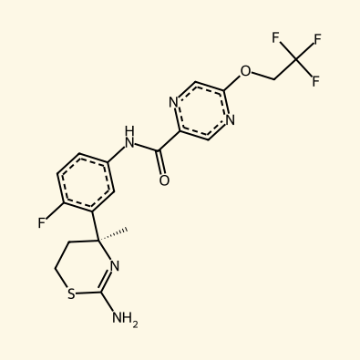 C[C@@]1(c2cc(NC(=O)c3cnc(OCC(F)(F)F)cn3)ccc2F)CCSC(N)=N1